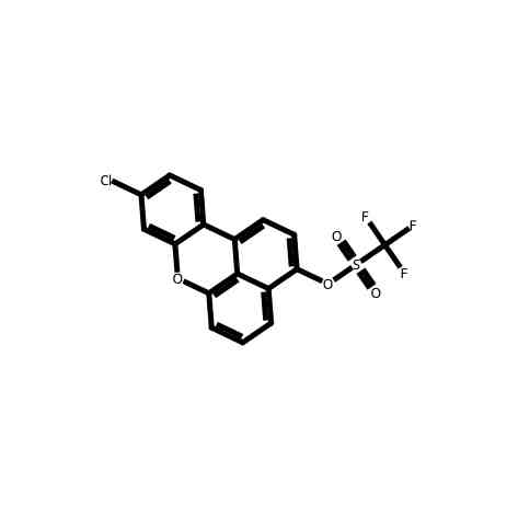 O=S(=O)(Oc1ccc2c3c(cccc13)Oc1cc(Cl)ccc1-2)C(F)(F)F